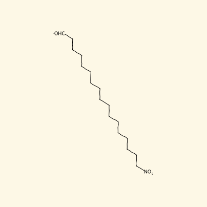 O=[C]CCCCCCCCCCCCCCCC[N+](=O)[O-]